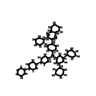 c1ccc(-c2ccc(-c3ccc(N(c4ccc(-c5nc6ccccc6nc5-c5ccccc5)cc4)c4cc(-c5ccccc5)cc(-c5ccccc5)c4)cc3)cc2)cc1